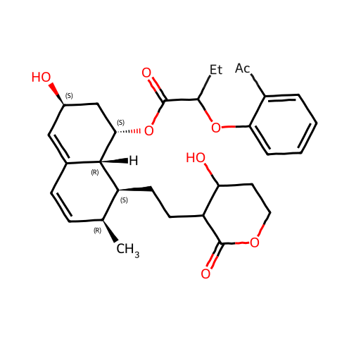 CCC(Oc1ccccc1C(C)=O)C(=O)O[C@H]1C[C@H](O)C=C2C=C[C@H](C)[C@H](CCC3C(=O)OCCC3O)[C@H]21